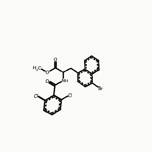 COC(=O)C(Cc1ccc(Br)c2ccccc12)NC(=O)c1c(Cl)cccc1Cl